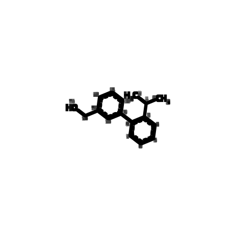 CC(C)c1ccccc1-c1cccc(CO)c1